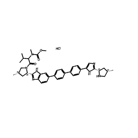 COC(=O)N(C)C(C(=O)N1C[C@@H](C)C[C@H]1c1nc2ccc(-c3ccc(-c4ccc(-c5cnc([C@@H]6C[C@H](C)CN6)[nH]5)cc4)cc3)cc2[nH]1)C(C)C.Cl